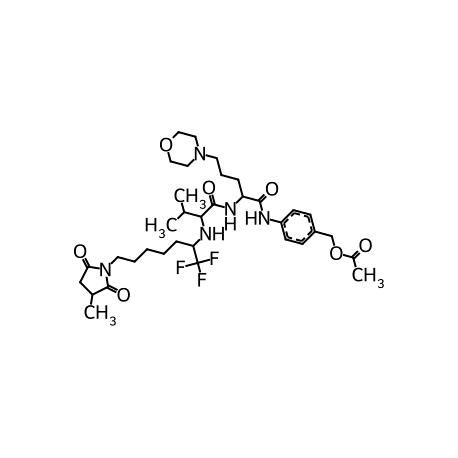 CC(=O)OCc1ccc(NC(=O)C(CCCN2CCOCC2)NC(=O)C(NC(CCCCCN2C(=O)CC(C)C2=O)C(F)(F)F)C(C)C)cc1